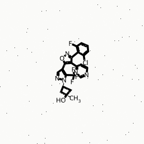 C[C@]1(O)C[C@H](n2ncc(-c3onc(-c4c(F)cccc4Cl)c3-c3ccncn3)c2C(F)(F)F)C1